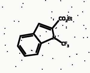 CCOC(=O)c1cc2ccccc2n1C(F)(F)F